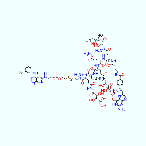 NOC(=O)CC[C@H](NC(=O)[C@H](CCC(=O)N(N)C[C@H](O)[C@@H](O)[C@H](N=O)[C@H](O)CN=O)NC(=O)CCCNC(=O)c1ccc(N(N)Cc2cnc3nc(N)[nH]c(=O)c3n2)cc1)C(=O)N[C@@H](CCC(=O)NC[C@H](O)[C@@H](O)[C@H](O)[C@H](O)CO)C(=O)N[C@@H](CCC(=O)O)C(=O)N[C@@H](CCC(=O)NC[C@H](O)[C@@H](O)[C@H](O)[C@H](O)CO)C(=O)N(N)CCSSCCOC(=O)OCCNc1cc2c(Nc3cccc(Br)c3)ncnc2cn1